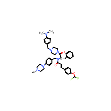 CC(=O)N1CCN(c2ccc(CN(C(=O)C=Cc3ccc(OC(F)F)cc3)[C@@H](Cc3ccccc3)C(=O)N3CCN(Cc4ccc(N(C)C)cc4)CC3)cc2)CC1